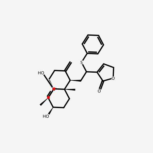 C=C1CC[C@]23[N+](O)=C[C@]2(C)[C@H](O)CC[C@@]3(C)[C@@H]1CC(Sc1ccccc1)C1=CCOC1=O